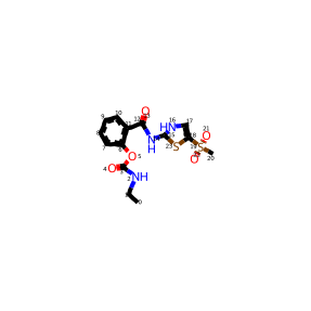 CCNC(=O)Oc1ccccc1C(=O)NC1NC=C(S(C)(=O)=O)S1